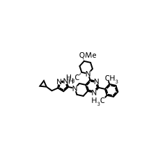 CO[C@@H]1CCN(c2nc(-c3c(C)cccc3C)nc3c2CN(c2cc(CC4CC4)n[nH]2)CC3)[C@H](C)C1